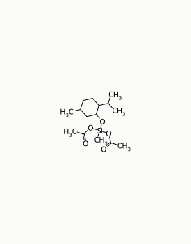 CC(=O)O[Si](C)(OC(C)=O)OC1CC(C)CCC1C(C)C